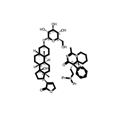 CC1=NC(=O)[C@](CCN(C(C)C)C(C)C)(c2ccccc2)[C@H]2CCCCN12.C[C@]12CC[C@H](O[C@@H]3O[C@H](CO)[C@@H](O)[C@H](O)[C@H]3O)C[C@H]1CC[C@@H]1[C@@H]2CC[C@]2(C)[C@@H](C3=CCOC3=O)CC[C@]12O